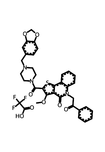 COc1c(C(=O)N2CCN(Cc3ccc4c(c3)OCO4)CC2)sc2c1c(=O)n(CC(=O)c1ccccc1)c1ccccc21.O=C(O)C(F)(F)F